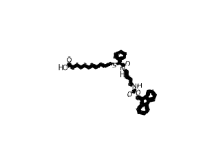 O=C(O)CCCCCCCCCCSC(C(=O)NCCCCNC(=O)OCC1c2ccccc2-c2ccccc21)c1ccccc1